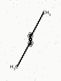 CCCCCCCCCCCCCCCCCCCCCC(=O)OC(=O)c1ccc(C(=O)OC(=O)CCCCCCCCCCCCCCCCCCCCC)cc1